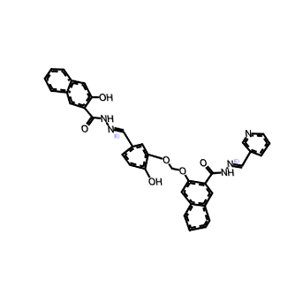 O=C(N/N=C/c1ccc(O)c(OCOc2cc3ccccc3cc2C(=O)N/N=C/c2cccnc2)c1)c1cc2ccccc2cc1O